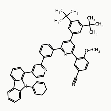 COc1ccc(C#N)cc1-c1cc(-c2cc(C(C)(C)C)cc(C(C)(C)C)c2)cc(-c2cccc(-c3cc(-c4cccc5c6ccccc6n(C6=CCCC=C6)c45)ccn3)c2)n1